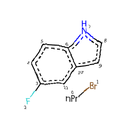 CCCBr.Fc1ccc2[nH]ccc2c1